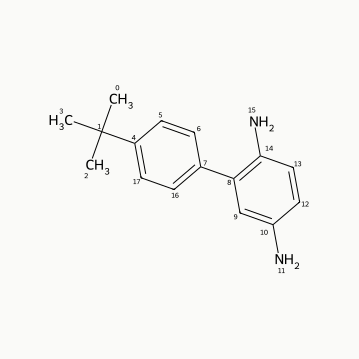 CC(C)(C)c1ccc(-c2cc(N)ccc2N)cc1